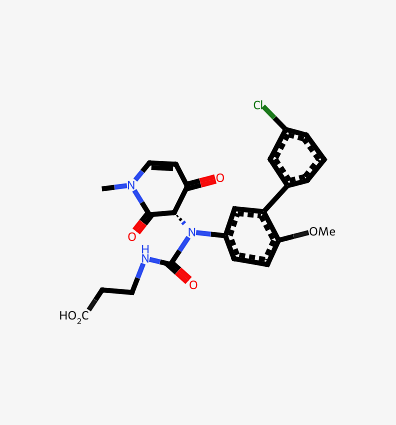 COc1ccc(N(C(=O)NCCC(=O)O)[C@H]2C(=O)C=CN(C)C2=O)cc1-c1cccc(Cl)c1